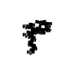 CNC(=O)[C@H]1CSSC[C@@H](NC(=O)[C@H]2CCCC2C(=O)[C@@H](CCCNC(=N)N)NC(=O)[C@@H](CCC(N)=O)NC(=O)CNC(=O)CNC(=O)CNC(=O)CNC(=O)CN)C(=O)N[C@@H](CC(C)C)C(=O)N[C@@H](CO)C(=O)N1